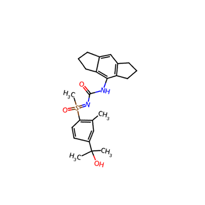 Cc1cc(C(C)(C)O)ccc1S(C)(=O)=NC(=O)Nc1c2c(cc3c1CCC3)CCC2